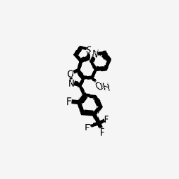 OC(c1cccnc1)c1c(-c2ccc(C(F)(F)F)cc2F)noc1-c1ccsc1